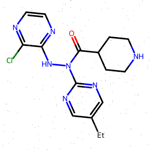 CCc1cnc(N(Nc2nccnc2Cl)C(=O)C2CCNCC2)nc1